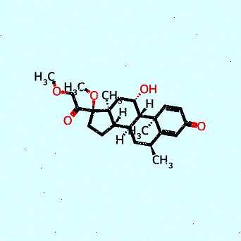 COCC(=O)[C@@]1(OC)CC[C@H]2[C@@H]3C[C@H](C)C4=CC(=O)C=C[C@]4(C)[C@H]3[C@@H](O)C[C@@]21C